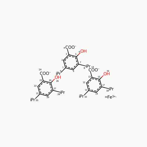 CC(C)c1cc(C(=O)[O-])c(O)c(C(C)C)c1.CC(C)c1cc(C(=O)[O-])c(O)c(C(C)C)c1.CC(C)c1cc(C(=O)[O-])c(O)c(C(C)C)c1.[Fe+3]